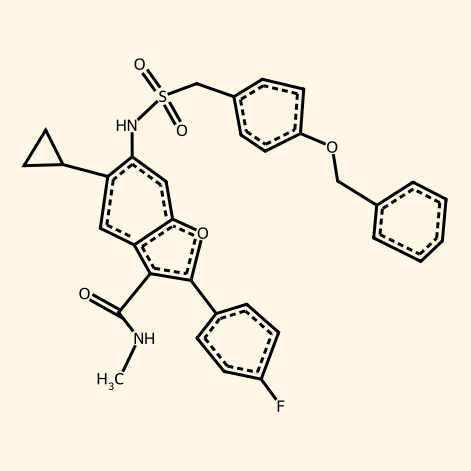 CNC(=O)c1c(-c2ccc(F)cc2)oc2cc(NS(=O)(=O)Cc3ccc(OCc4ccccc4)cc3)c(C3CC3)cc12